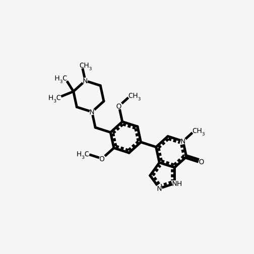 COc1cc(-c2cn(C)c(=O)c3[nH]ncc23)cc(OC)c1CN1CCN(C)C(C)(C)C1